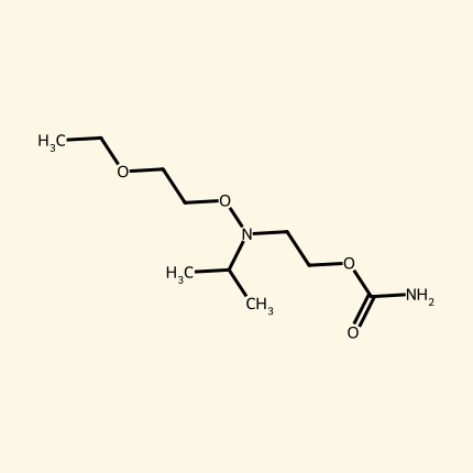 CCOCCON(CCOC(N)=O)C(C)C